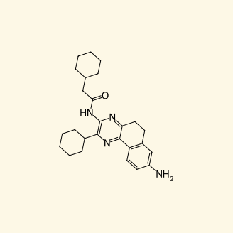 Nc1ccc2c(c1)CCc1nc(NC(=O)CC3CCCCC3)c(C3CCCCC3)nc1-2